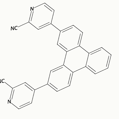 N#Cc1cc(-c2ccc3c4ccccc4c4ccc(-c5ccnc(C#N)c5)cc4c3c2)ccn1